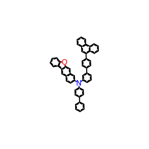 c1ccc(-c2ccc(N(c3cccc(-c4ccc(-c5cc6ccccc6c6ccccc56)cc4)c3)c3ccc4cc5c(cc4c3)oc3ccccc35)cc2)cc1